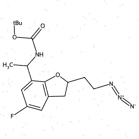 CC(NC(=O)OC(C)(C)C)c1cc(F)cc2c1OC(CCN=[N+]=[N-])C2